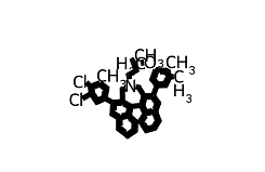 CCCCN1Cc2c(-c3cc(C)c(Cl)c(Cl)c3)cc3ccccc3c2-c2c(c(-c3cc(C)c(C)c(OC)c3)cc3ccccc23)C1